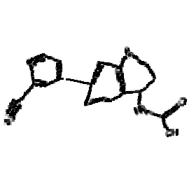 N#Cc1cccc(-c2ccc3c(c2)OCCC3NC(=O)O)c1